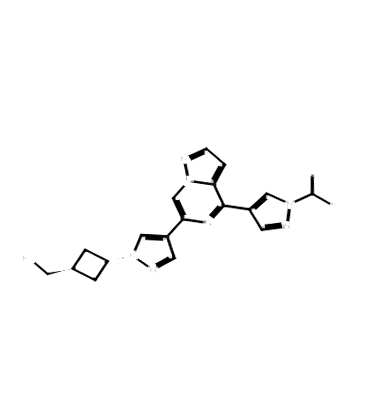 CCC(CC)n1cc(-c2nc(-c3cnn([C@H]4C[C@H](CO)C4)c3)cn3nccc23)cn1